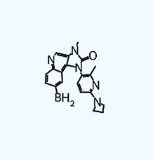 Bc1ccc2ncc3c(c2c1)n(-c1ccc(N2CCC2)nc1C)c(=O)n3C